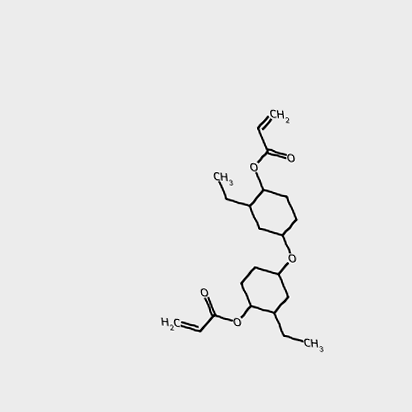 C=CC(=O)OC1CCC(OC2CCC(OC(=O)C=C)C(CC)C2)CC1CC